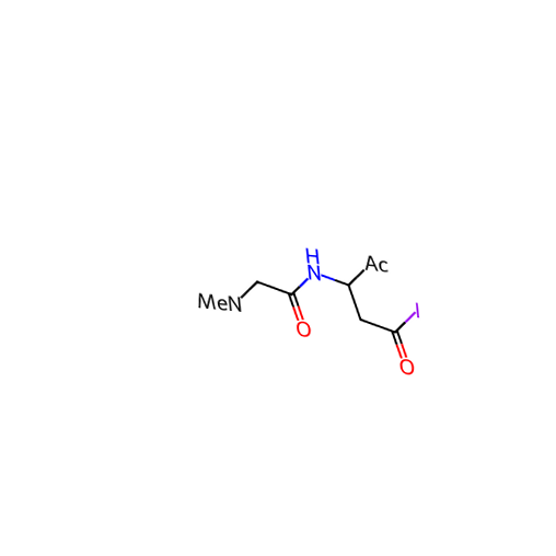 CNCC(=O)NC(CC(=O)I)C(C)=O